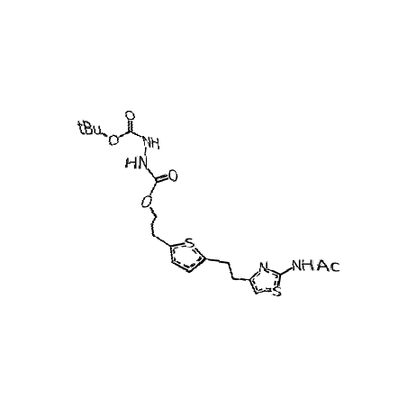 CC(=O)Nc1nc(CCc2ccc(CCOC(=O)NNC(=O)OC(C)(C)C)s2)cs1